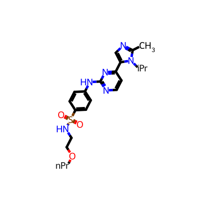 CCCOCCNS(=O)(=O)c1ccc(Nc2nccc(-c3cnc(C)n3C(C)C)n2)cc1